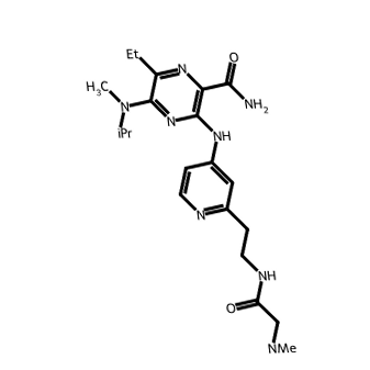 CCc1nc(C(N)=O)c(Nc2ccnc(CCNC(=O)CNC)c2)nc1N(C)C(C)C